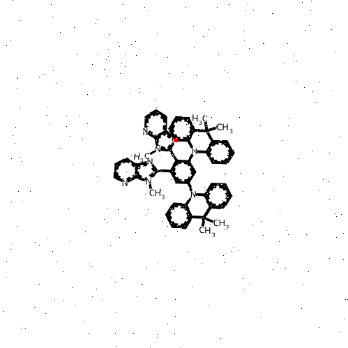 Cn1c(-c2cc(N3c4ccccc4C(C)(C)c4ccccc43)cc(N3c4ccccc4C(C)(C)c4ccccc43)c2-c2nc3cccnc3n2C)nc2cccnc21